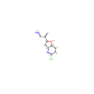 C=C(C=N)c1cc2nc(Cl)ccc2o1